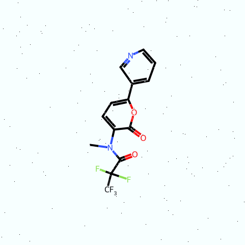 CN(C(=O)C(F)(F)C(F)(F)F)c1ccc(-c2cccnc2)oc1=O